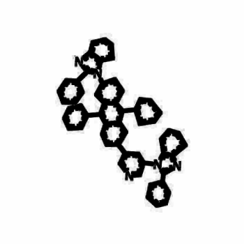 c1ccc(-c2c3ccc(-n4c(-c5ccccc5)nc5ccccc54)cc3c(-c3ccccc3)c3ccc(-c4cncc(-n5c(-c6ccccc6)nc6ccccc65)c4)cc23)cc1